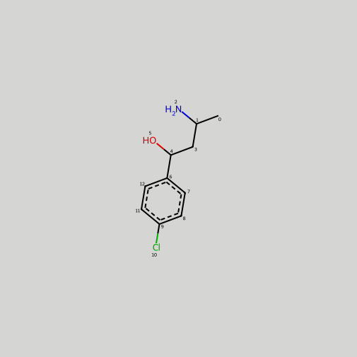 CC(N)CC(O)c1ccc(Cl)cc1